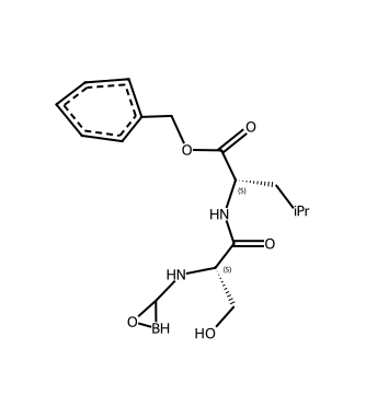 CC(C)C[C@H](NC(=O)[C@H](CO)NC1BO1)C(=O)OCc1ccccc1